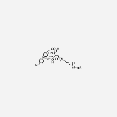 CCCCCCCC(=O)CCCCCC/C=C/[C@H](C(=O)N[C@@H](Cc1ccc(-c2ccc(C#N)cc2)cc1)C(=O)O)[C@@](O)(CC(=O)O)C(=O)O